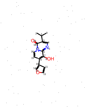 CC(C)c1cnc2c(O)c(-c3ccoc3)ccn2c1=O